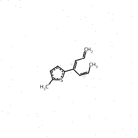 C=C/C=C(\C=C/C)c1ccc(C)s1